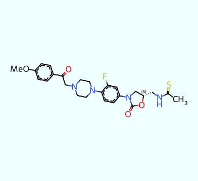 COc1ccc(C(=O)CN2CCN(c3ccc(N4C[C@H](CNC(C)=S)OC4=O)cc3F)CC2)cc1